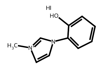 C[n+]1ccn(-c2ccccc2O)c1.I